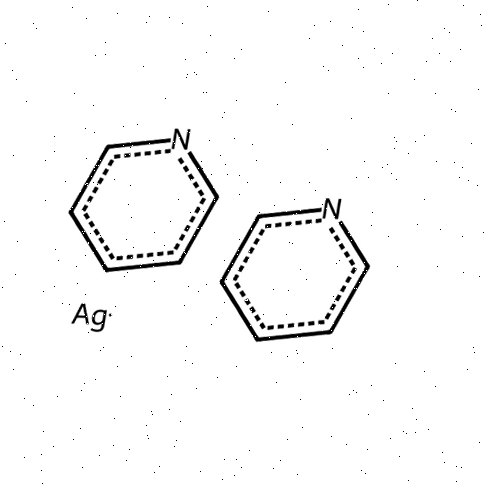 [Ag].c1ccncc1.c1ccncc1